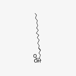 CCCCCCCCCCCCCCC=CCCC(C)C(=O)O